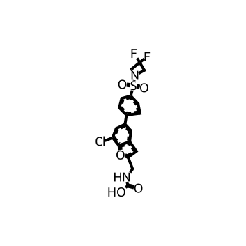 O=C(O)NCc1cc2cc(-c3ccc(S(=O)(=O)N4CC(F)(F)C4)cc3)cc(Cl)c2o1